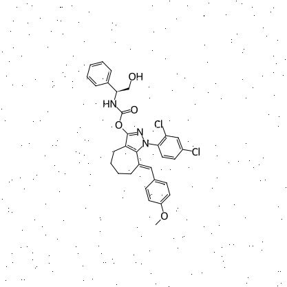 COc1ccc(/C=C2\CCCCc3c(OC(=O)N[C@H](CO)c4ccccc4)nn(-c4ccc(Cl)cc4Cl)c32)cc1